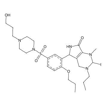 CCCOc1ccc(S(=O)(=O)N2CCN(CCCO)CC2)cc1C1NC(=O)C2=C1CN(CCC)C(I)N2C